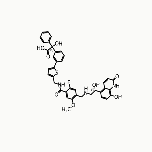 COc1cc(C(=O)NCc2ccc(-c3cccc([C@](O)(C(=O)O)c4ccccc4)c3)s2)c(F)cc1CNC[C@H](O)c1ccc(O)c2[nH]c(=O)ccc12